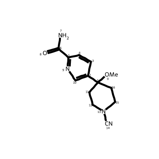 COC1(c2ccc(C(N)=O)nc2)CCN(C#N)CC1